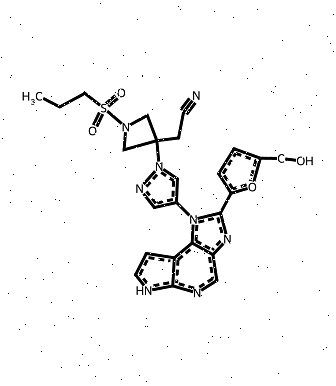 CCCS(=O)(=O)N1CC(CC#N)(n2cc(-n3c(-c4ccc(CO)o4)nc4cnc5[nH]ccc5c43)cn2)C1